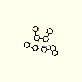 c1ccc2c(c1)ccc1c2c2cccc3c2n1-c1cc2c(sc4ccccc42)c2c1B3N(c1cccc3c1oc1ccccc13)c1ccc3c(oc4ccccc43)c1-2